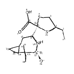 CCC1CS[C@@](C(=O)O)(C(CC2CC2)N[S@@+]([O-])C(C)(C)C)S1